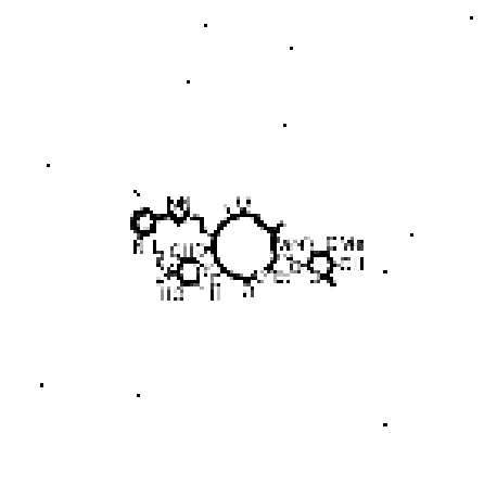 CC[C@H]1OC(=O)C[C@@H](O)[C@H](C)[C@@H](O[C@@H]2O[C@H](C)[C@@H](O)C(N(C)C)C2O)[C@@H](CCn2cc(-c3cccc(N)c3)nn2)C[C@@H](C)C(=O)/C=C/C(C)=C/[C@@H]1CO[C@@H]1OC(C)[C@@H](O)[C@H](OC)C1OC